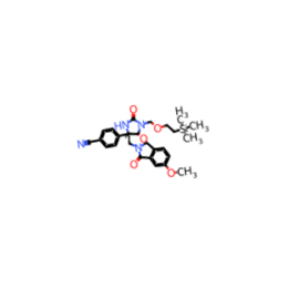 COc1ccc2c(c1)C(=O)N(C[C@@]1(c3ccc(C#N)cc3)NC(=O)N(COCC[Si](C)(C)C)C1=O)C2